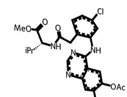 COC(=O)[C@H](NC(=O)Cc1ccc(Cl)cc1Nc1ncnc2cc(OC)c(OC(C)=O)cc12)C(C)C